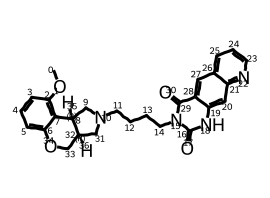 COc1cccc2c1[C@@H]1CN(CCCCn3c(=O)[nH]c4cc5ncccc5cc4c3=O)C[C@@H]1CO2